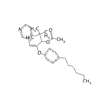 CCCCCCc1ccc(OC(=Cc2cccnc2)C(OC(C)=O)C(C)(C)C)cc1